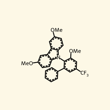 COc1ccc2c(c1)c1cc(OC)ccc1n2-c1c(OC)cc(C(F)(F)F)cc1-c1ccccc1